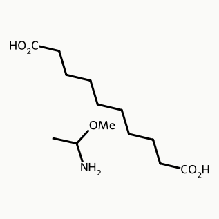 COC(C)N.O=C(O)CCCCCCCCC(=O)O